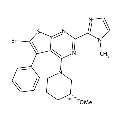 CO[C@@H]1CCCN(c2nc(-c3nccn3C)nc3sc(Br)c(-c4ccccc4)c23)C1